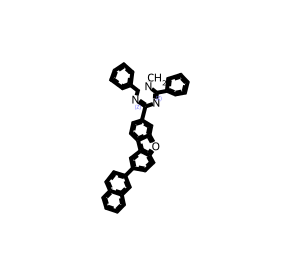 C=N/C(=N\C(=N/Cc1ccccc1)c1ccc2c(c1)oc1ccc(-c3ccc4ccccc4c3)cc12)c1ccccc1